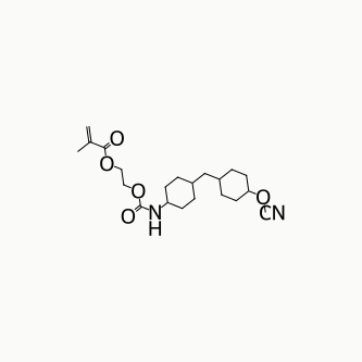 C=C(C)C(=O)OCCOC(=O)NC1CCC(CC2CCC(OC#N)CC2)CC1